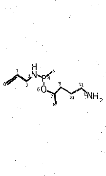 C=CCNP(C)OC(C)CCCN